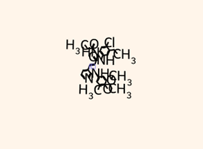 CCC(=O)Nc1cc(Cl)c(CC)cc1NC(=O)/C=C/c1cccnc1Nc1cc(C)c(OC)c(OC)c1